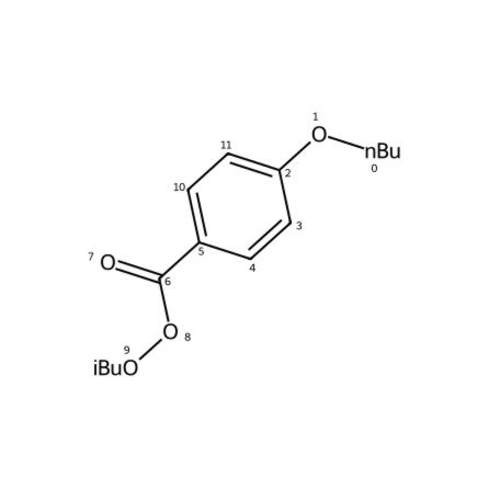 CCCCOc1ccc(C(=O)OO[CH]C(C)C)cc1